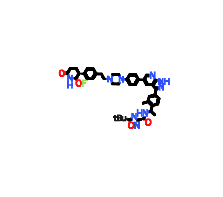 Cc1cc(-c2n[nH]c3ncc(-c4ccc(N5CCN(CCc6ccc([C@@H]7CCC(=O)NC7=O)c(F)c6)CC5)cc4)cc23)ccc1C(C)NC(=O)c1noc(C(C)(C)C)n1